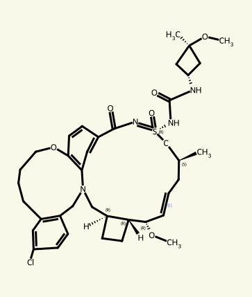 CO[C@H]1/C=C/C[C@H](C)C[S@@](=O)(NC(=O)N[C@H]2C[C@](C)(OC)C2)=NC(=O)c2ccc3c(c2)N(Cc2ccc(Cl)cc2CCCCO3)C[C@@H]2CC[C@H]21